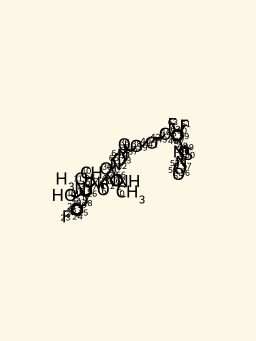 C[C@@H]1CN(CC(=O)N2CC(C)(C)c3nc(CO)c(Cc4ccc(F)cc4)cc32)[C@@H](C(=O)N2CCN(C(=O)COCCOCCOc3cc(-c4csc(N5CCOCC5)n4)cc(F)c3F)CC2)CN1